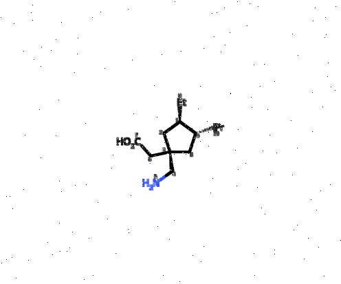 CC[C@@H]1C[C@@](CN)(CC(=O)O)C[C@H]1C(C)C